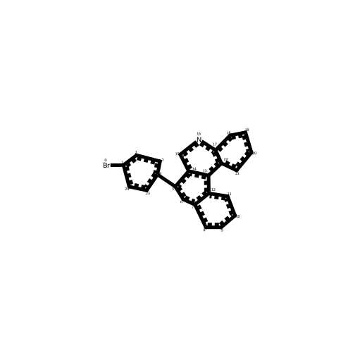 Brc1ccc(-c2cc3ccccc3c3c2cnc2ccccc23)cc1